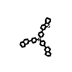 c1ccc2cc(-c3ccc(N(c4ccc(-c5ccc6ccccc6c5)cc4)c4ccc(-c5ccc6c(c5)sc5ccccc56)cc4)cc3)ccc2c1